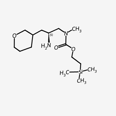 CN(C[C@@H](N)CC1CCCOC1)C(=O)OCC[Si](C)(C)C